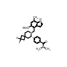 COc1cc(C)c2[nH]ccc2c1CN1CCC2(C[C@H]1c1ccc(C(=O)N(C)C)cc1)CC(F)(F)C2